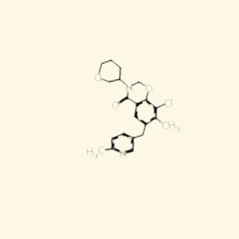 Cc1ccc(Cc2cc3c(c(Cl)c2C)OCN(C2CCCOC2)C3=O)cn1